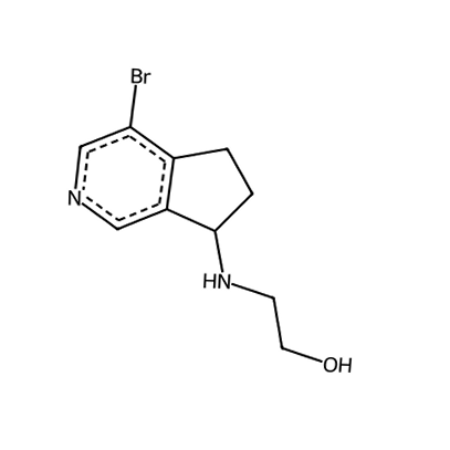 OCCNC1CCc2c(Br)cncc21